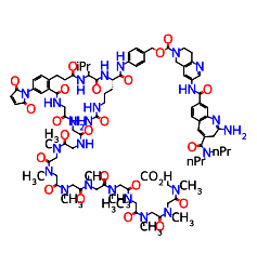 CCCN(CCC)C(=O)C1=Cc2ccc(C(=O)Nc3cnc4c(c3)CN(C(=O)OCc3ccc(NC(=O)[C@H](CCCNC(N)=O)NC(=O)[C@@H](NC(=O)CCc5ccc(N6C(=O)C=CC6=O)cc5C(=O)NCC(=O)NCC(=O)NCC(=O)N(C)CC(=O)N(C)CC(=O)N(C)CC(=O)N(C)CC(=O)N(C)CC(=O)N(C)CC(=O)N(C)CC(=O)N(C)CC(=O)N(C)CC(=O)O)C(C)C)cc3)CC4)cc2N=C(N)C1